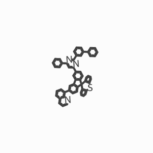 c1ccc(-c2cccc(-c3nc(-c4ccccc4)cc(-c4ccc5c(c4)-c4cc(-c6cccc7cccnc67)ccc4C54c5ccccc5Sc5ccccc54)n3)c2)cc1